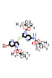 CC(C)(C)OC(=O)Nc1cnc2c(F)cn(C(=O)OC(C)(C)C)c2c1.CC(C)(C)OC(=O)n1cc(F)c2ncc(Br)cc21